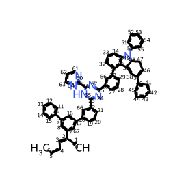 C#C/C(=C\C=C/C)c1cc(-c2ccccc2)cc(-c2cccc(C3=NC(c4cccc(-c5cccc6c5C5=CC(c7ccccc7)=CCC5N6c5ccccc5)c4)=NC(c4ncccn4)N3)c2)c1